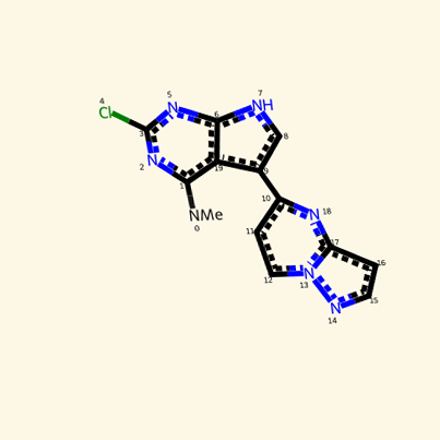 CNc1nc(Cl)nc2[nH]cc(-c3ccn4nccc4n3)c12